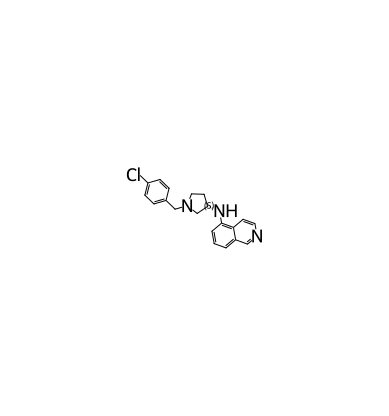 Clc1ccc(CN2CC[C@H](Nc3cccc4cnccc34)C2)cc1